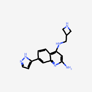 Nc1cc(NCC2CNC2)c2ccc(-c3ccn[nH]3)cc2n1